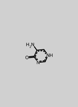 Nc1c[nH]cnc1=O